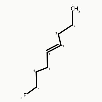 [CH2]CCC=CCCCF